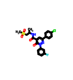 CC(CS(C)(=O)=O)NC(=O)c1cc(-c2ccc(Cl)cc2)nn(-c2cccc(F)c2)c1=O